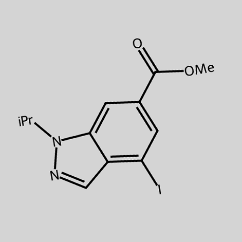 COC(=O)c1cc(I)c2cnn(C(C)C)c2c1